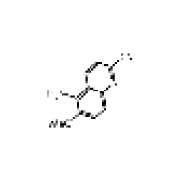 COc1ccc2nc(C#N)ccc2c1N